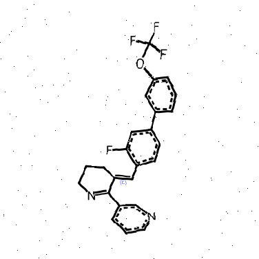 Fc1cc(-c2cccc(OC(F)(F)F)c2)ccc1/C=C1\CCCN=C1c1cccnc1